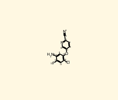 N#Cc1ccc(Oc2cc(N)c(F)cc2Cl)cn1